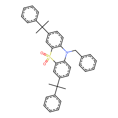 CC(C)(c1ccccc1)c1ccc2c(c1)S(=O)(=O)c1cc(C(C)(C)c3ccccc3)ccc1N2Cc1ccccc1